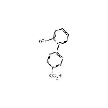 CCCc1ccccc1-c1ccc(C(=O)O)cc1